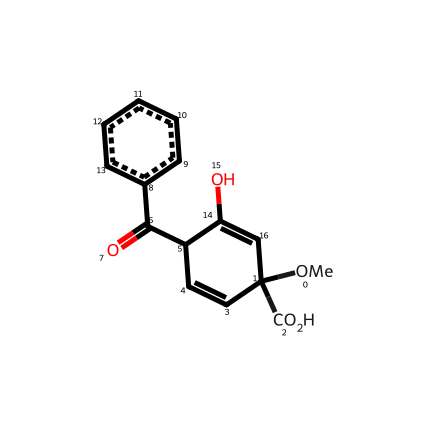 COC1(C(=O)O)C=CC(C(=O)c2ccccc2)C(O)=C1